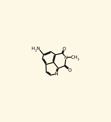 CN1C(=O)c2cc(N)cc3ccnc(c23)C1=O